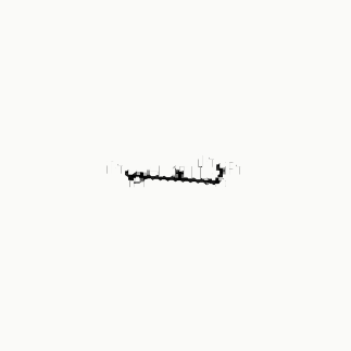 CC(C)CCC(COC(=O)CCCCCCCCCC(CCCCCCCCCC(=O)OCC(CCC(C)C)C(C)C)N(C)C)C(C)C